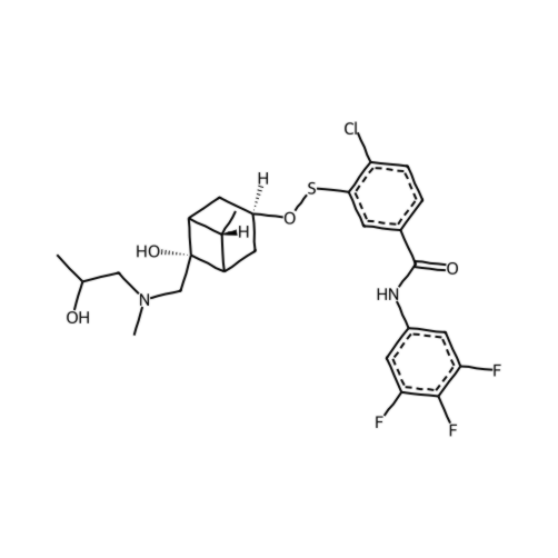 CC(O)CN(C)C[C@]1(O)C2C[C@H](OSc3cc(C(=O)Nc4cc(F)c(F)c(F)c4)ccc3Cl)CC1[C@@H]2C